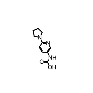 O=C(O)Nc1ccc(N2CCCC2)nc1